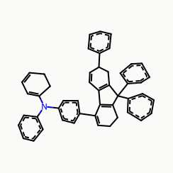 C1=CCCC(N(c2ccccc2)c2ccc(C3=CCCC4=C3C3=C(CC(c5ccccc5)C=C3)C4(c3ccccc3)c3ccccc3)cc2)=C1